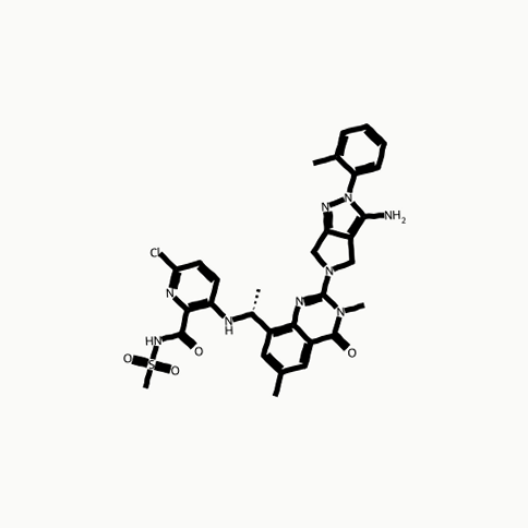 Cc1cc([C@@H](C)Nc2ccc(Cl)nc2C(=O)NS(C)(=O)=O)c2nc(N3Cc4nn(-c5ccccc5C)c(N)c4C3)n(C)c(=O)c2c1